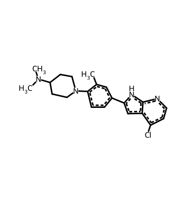 Cc1cc(-c2cc3c(Cl)ccnc3[nH]2)ccc1N1CCC(N(C)C)CC1